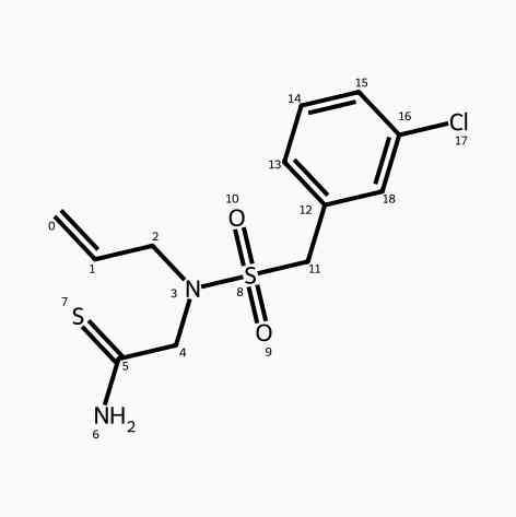 C=CCN(CC(N)=S)S(=O)(=O)Cc1cccc(Cl)c1